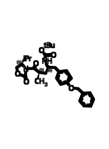 CC(C)[C@H]1COC(=O)N1C(=O)[C@@H](C)C[C@H](Cc1ccc(OCc2ccccc2)cc1)NC(=O)OC(C)(C)C